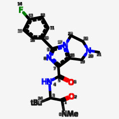 CNC(=O)C(NC(=O)c1nc(-c2ccc(F)cc2)n2c1CN(C)CC2)C(C)(C)C